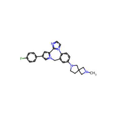 CN1CC2(CCN(c3ccc4c(c3)Cn3cc(-c5ccc(F)cc5)cc3-c3nccn3-4)C2)C1